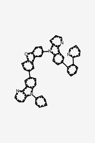 c1ccc(-n2c3ccc(-c4ccc5oc6ccc(-n7c8ccc(-c9ccccc9-c9ccccn9)cc8c8ncccc87)cc6c5c4)cc3c3ncccc32)cc1